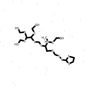 C[SH](SCS)C(CSCSSC1SCCS1)SCSC(SCS)C(SCS)SCS